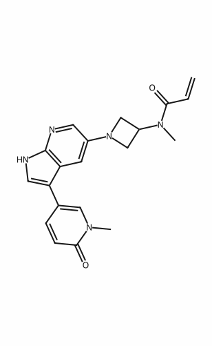 C=CC(=O)N(C)C1CN(c2cnc3[nH]cc(-c4ccc(=O)n(C)c4)c3c2)C1